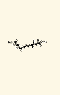 COC(=O)NCNC(=O)OCCCOC(=O)NCNC(=O)OC